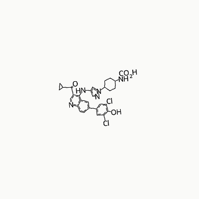 O=C(O)NC1CCC(n2cc(Nc3c(C(=O)C4CC4)cnc4ccc(-c5cc(Cl)c(O)c(Cl)c5)cc34)cn2)CC1